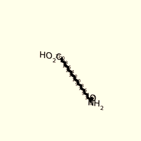 NC(=O)CCCCCCCCCCCCCCCCCCC(=O)O